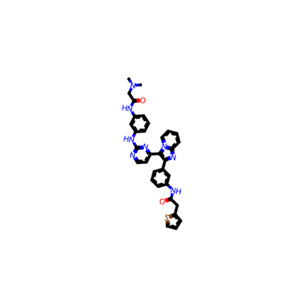 CN(C)CC(=O)Nc1cccc(Nc2nccc(-c3c(-c4cccc(NC(=O)Cc5cccs5)c4)nc4ccccn34)n2)c1